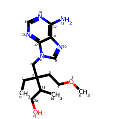 CCC(CCOC)(Cn1cnc2c(N)ncnc21)C(C)CO